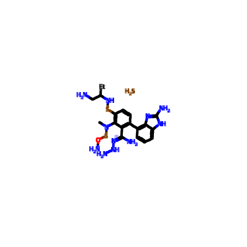 CCC(CN)NSc1ccc(-c2cccc3[nH]c(N)nc23)c(/C(N)=N/NN)c1N(C)SON.S